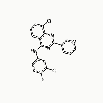 Fc1ccc(Nc2nc(-c3cccnc3)nc3c(Cl)cccc23)cc1Cl